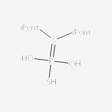 CCCC(C)S(C(C)CCC)=P(O)(O)S